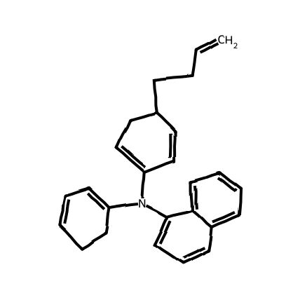 C=CCCC1C=CC(N(C2=CC=CCC2)c2cccc3ccccc23)=CC1